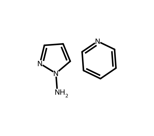 Nn1cccn1.c1ccncc1